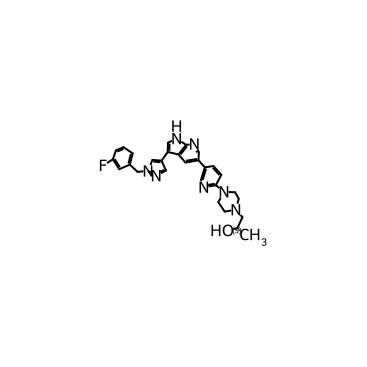 C[C@H](O)CN1CCN(c2ccc(-c3cnc4[nH]cc(-c5cnn(Cc6cccc(F)c6)c5)c4c3)cn2)CC1